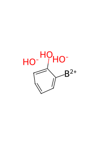 [B+2]c1ccccc1O.[OH-].[OH-]